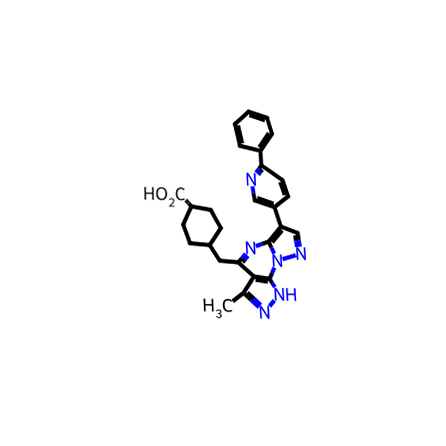 Cc1n[nH]c2c1c(CC1CCC(C(=O)O)CC1)nc1c(-c3ccc(-c4ccccc4)nc3)cnn12